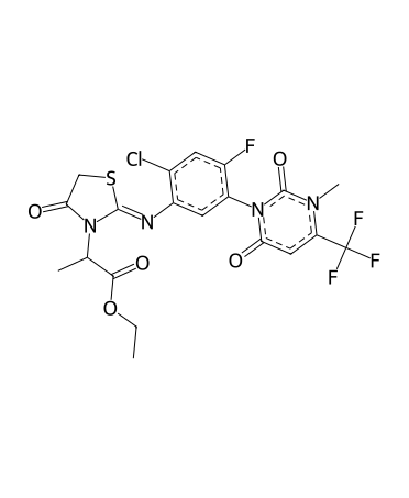 CCOC(=O)C(C)N1C(=O)CSC1=Nc1cc(-n2c(=O)cc(C(F)(F)F)n(C)c2=O)c(F)cc1Cl